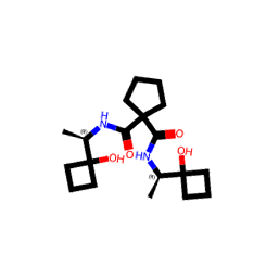 C[C@@H](NC(=O)C1(C(=O)N[C@H](C)C2(O)CCC2)CCCC1)C1(O)CCC1